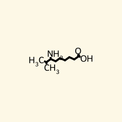 CC(C)C(N)CCCCCC(=O)O